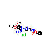 COc1cc2nc(N3CCN(C(=O)CNC(=O)OCc4ccccc4)CC3)nc(N)c2cc1OC.Cl